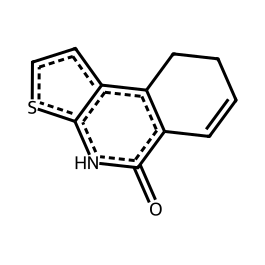 O=c1[nH]c2sccc2c2c1C=CCC2